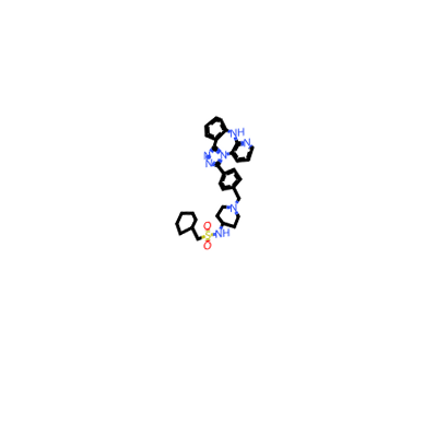 O=S(=O)(CC1CCCCC1)NC1CCN(Cc2ccc(-c3nnc4n3-c3cccnc3Nc3ccccc3-4)cc2)CC1